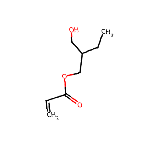 C=CC(=O)OCC(CC)CO